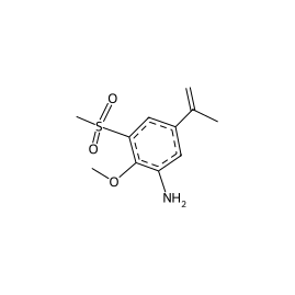 C=C(C)c1cc(N)c(OC)c(S(C)(=O)=O)c1